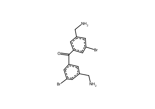 NCc1cc(Br)cc(C(=O)c2cc(Br)cc(CN)c2)c1